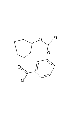 CCC(=O)OC1CCCCC1.O=C(Cl)c1ccccc1